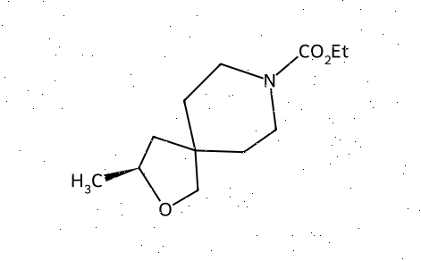 CCOC(=O)N1CCC2(CC1)CO[C@@H](C)C2